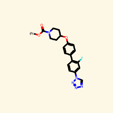 CC(C)OC(=O)N1CCC(Oc2ccc(-c3ccc(-n4cnnn4)cc3F)cc2)CC1